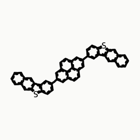 c1ccc2cc3c(cc2c1)sc1ccc(-c2cc4ccc5cc(-c6ccc7sc8cc9ccccc9cc8c7c6)cc6ccc(c2)c4c56)cc13